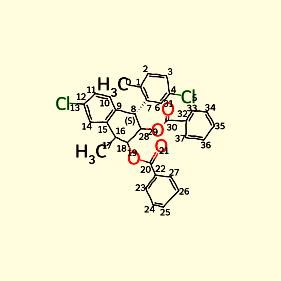 Cc1ccc(Cl)cc1[C@H]1c2ccc(Cl)cc2C(C)C(OC(=O)c2ccccc2)C1OC(=O)c1ccccc1